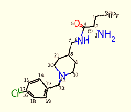 CC(C)C[C@H](N)C(=O)NCC1CCN(Cc2ccc(Cl)cc2)CC1